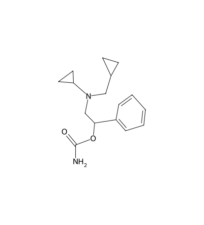 NC(=O)OC(CN(CC1CC1)C1CC1)c1ccccc1